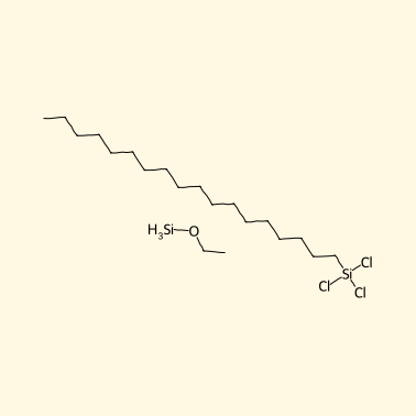 CCCCCCCCCCCCCCCCCC[Si](Cl)(Cl)Cl.CCO[SiH3]